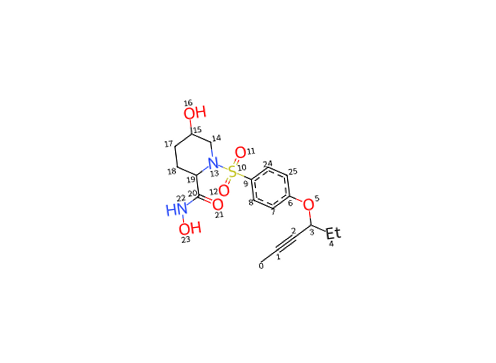 CC#CC(CC)Oc1ccc(S(=O)(=O)N2CC(O)CCC2C(=O)NO)cc1